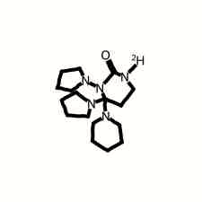 [2H]N1CCC(N2CCCCC2)(N2CCCC2)N(N2CCCC2)C1=O